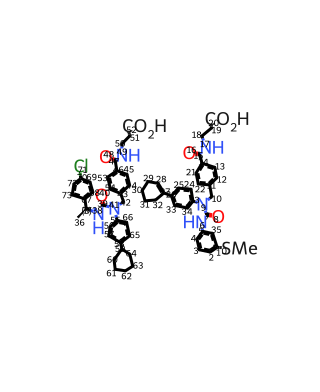 CSc1cccc(NC(=O)N(Cc2ccc(C(=O)NCCC(=O)O)cc2)c2ccc(C3=CCCCC3)cc2)c1.C[C@H](NC(=O)N(Cc1ccc(C(=O)NCCC(=O)O)cc1)c1ccc(C2CCCCC2)cc1)c1ccc(Cl)cc1